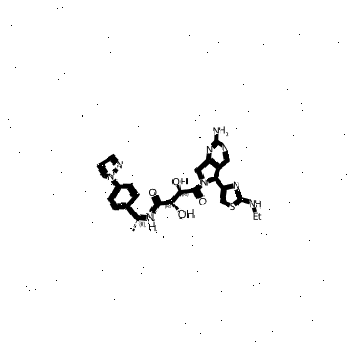 CCNc1nc(C2c3cnc(N)nc3CN2C(=O)[C@H](O)[C@@H](O)C(=O)N[C@H](C)c2ccc(-n3cccn3)cc2)cs1